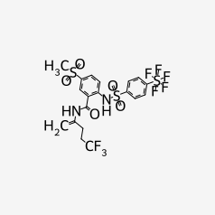 C=C(CCC(F)(F)F)NC(=O)c1cc(S(C)(=O)=O)ccc1NS(=O)(=O)c1ccc(S(F)(F)(F)(F)F)cc1